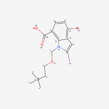 C[Si](C)(C)CCOCn1c(I)cc2c(Br)ccc(C(=O)O)c21